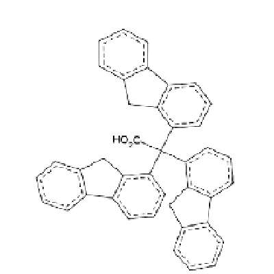 O=C(O)C(c1cccc2c1Cc1ccccc1-2)(c1cccc2c1Cc1ccccc1-2)c1cccc2c1Cc1ccccc1-2